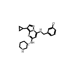 Clc1cccc(CNc2cc(N[C@H]3CCCNC3)nc3c(C4CC4)cnn23)c1